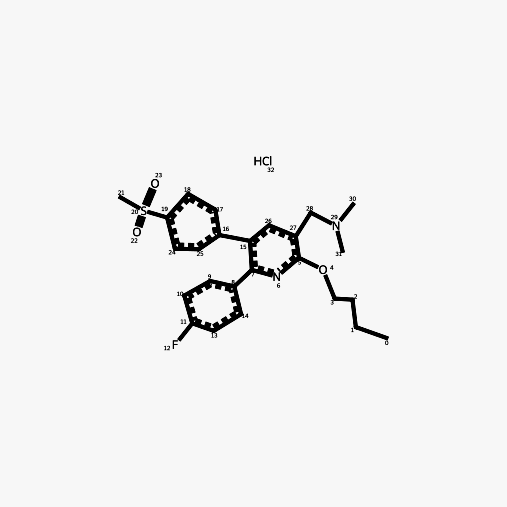 CCCCOc1nc(-c2ccc(F)cc2)c(-c2ccc(S(C)(=O)=O)cc2)cc1CN(C)C.Cl